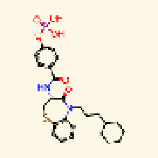 O=C(N[C@H]1CSc2ccccc2N(CCCC2CCCCC2)C1=O)c1ccc(OP(=O)(O)O)cc1